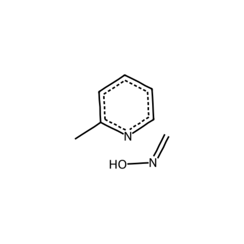 C=NO.Cc1ccccn1